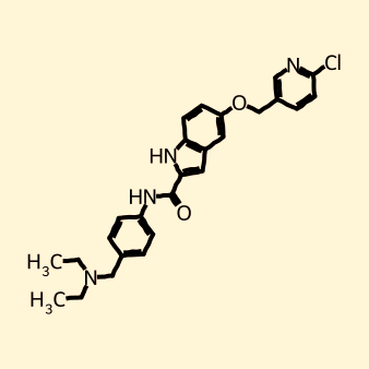 CCN(CC)Cc1ccc(NC(=O)c2cc3cc(OCc4ccc(Cl)nc4)ccc3[nH]2)cc1